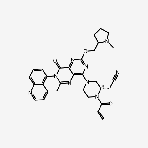 C=CC(=O)N1CCN(c2nc(OCC3CCCN3C)nc3c(=O)n(-c4cccc5ncccc45)c(C)nc23)C[C@@H]1CC#N